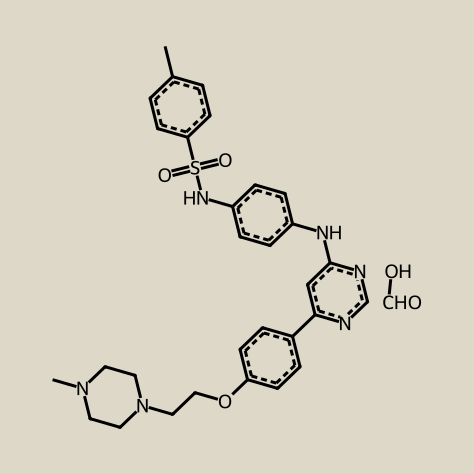 Cc1ccc(S(=O)(=O)Nc2ccc(Nc3cc(-c4ccc(OCCN5CCN(C)CC5)cc4)ncn3)cc2)cc1.O=CO